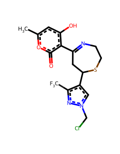 Cc1cc(O)c(C2=NCCSC(c3cn(CCl)nc3C(F)(F)F)C2)c(=O)o1